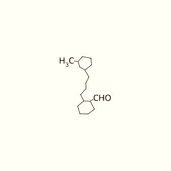 CC1CCCC(CCCCC2CCCCC2C=O)C1